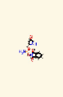 NP(OC[C@@H]1CC(O)CN1)ON1C(=O)c2ccccc2C1=O